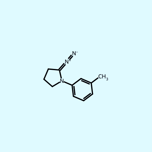 Cc1cccc(N2CCCC2=[N+]=[N-])c1